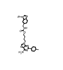 Cc1ccc(-c2nc(N)c3ncn(CCCCOC(=O)NCc4ccc5ncn(C(C)C)c5c4)c3n2)cc1